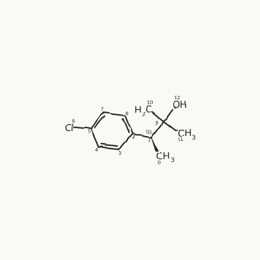 C[C@@H](c1ccc(Cl)cc1)C(C)(C)O